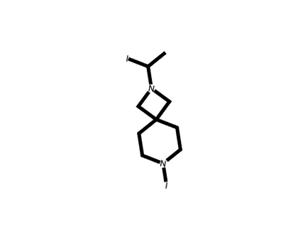 CC(I)N1CC2(CCN(I)CC2)C1